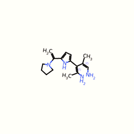 C=C(c1ccc(C(/C(C)=C\N)=C(\C)N)[nH]1)N1CCCC1